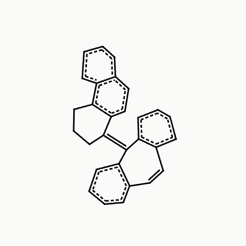 C1=Cc2ccccc2C(=C2CCCc3c2ccc2ccccc32)c2ccccc21